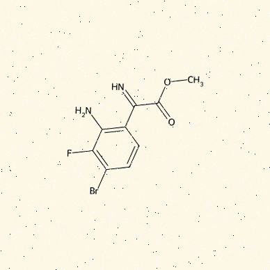 COC(=O)C(=N)c1ccc(Br)c(F)c1N